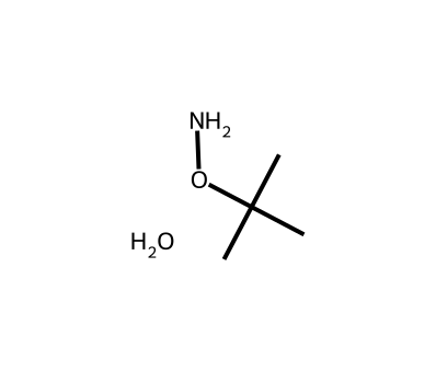 CC(C)(C)ON.O